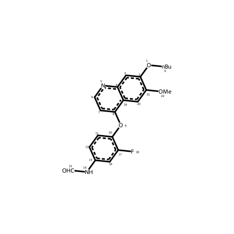 CCCCOc1cc2nccc(Oc3ccc(NC=O)cc3F)c2cc1OC